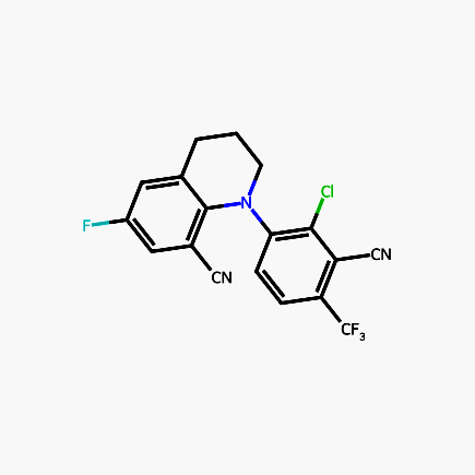 N#Cc1cc(F)cc2c1N(c1ccc(C(F)(F)F)c(C#N)c1Cl)CCC2